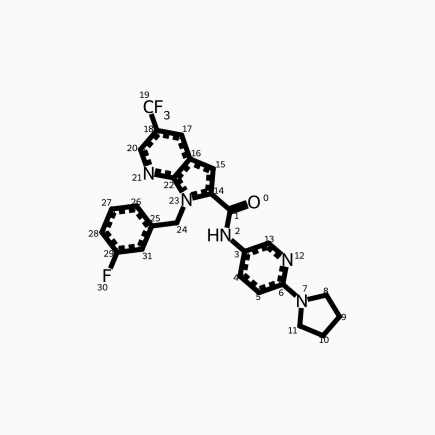 O=C(Nc1ccc(N2CCCC2)nc1)c1cc2cc(C(F)(F)F)cnc2n1Cc1cccc(F)c1